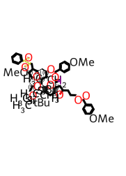 C=C([C@H](C)C[C@H]1CC[C@@H]2OC(CCCOC(=O)c3ccc(OC)cc3)C[C@]2(CI)O1)[C@@H](C[C@@H]1O[C@H](C[C@@H](CO[Si](C)(C)C(C)(C)C)O[Si](C)(C)C(C)(C)C)[C@H](OC)C1CS(=O)(=O)c1ccccc1)OC(=O)c1ccc(OC)cc1